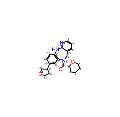 O=C([C@H]1CCCCO1)N1Cc2cccnc2Nc2ccc(C3CCOC3)cc21